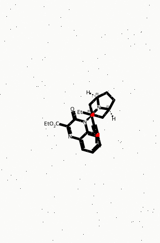 CCOC(=O)c1nc2ccccc2n([C@H]2C[C@H]3CC[C@@H](C2)N3C(C#CC(C)C)CC)c1=O